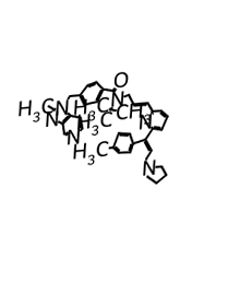 Cc1ccc(/C(=C\CN2CCCC2)c2cccc(/C=C/CN(C(=O)c3ccc(Cn4c(C)nc5cnccc54)cc3)C(C)(C)C)n2)cc1